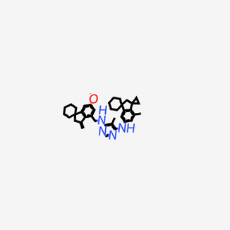 C=C1CC2(CCCCC2)c2cc(OC)cc(CNc3ncnc(Nc4cc(C)c5c(c4)C4(CCCCC4)CC54CC4)c3C)c21